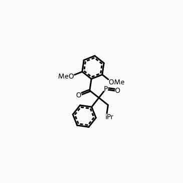 COc1cccc(OC)c1C(=O)C(CC(C)C)(P=O)c1ccccc1